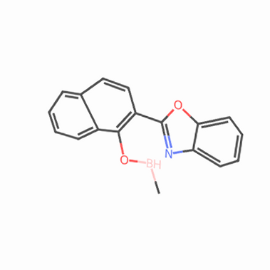 CBOc1c(-c2nc3ccccc3o2)ccc2ccccc12